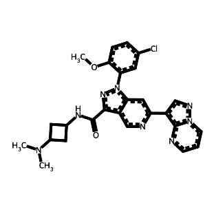 COc1ccc(Cl)cc1-n1nc(C(=O)NC2CC(N(C)C)C2)c2cnc(-c3cnn4cccnc34)cc21